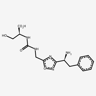 N[C@@H](Cc1ccccc1)c1noc(CNC(=O)N[C@@H](CO)C(=O)O)n1